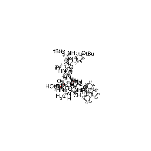 CC(C)C[C@H](NC(=O)[C@H](Cc1ccc(OC(C)(C)C)cc1)NC(=O)[C@@H](N)COC(C)(C)C)C(=O)N[C@@H](CCC(=O)OC(C)(C)C)C(=O)NCC(=O)N[C@@H](CCC(=O)NC(c1ccccc1)(c1ccccc1)c1ccccc1)C(=O)N[C@@H](C)C(=O)N[C@@H](C)C(=O)N[C@@H](CCCCN)C(=O)O